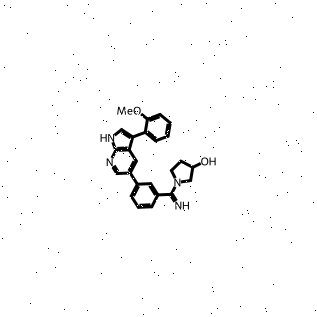 COc1ccccc1-c1c[nH]c2ncc(-c3cccc(C(=N)N4CCC(O)C4)c3)cc12